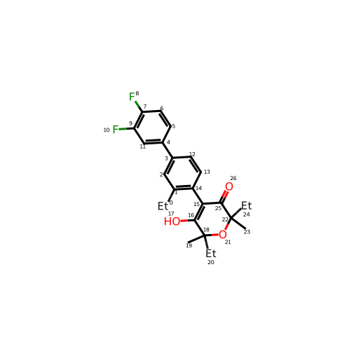 CCc1cc(-c2ccc(F)c(F)c2)ccc1C1=C(O)C(C)(CC)OC(C)(CC)C1=O